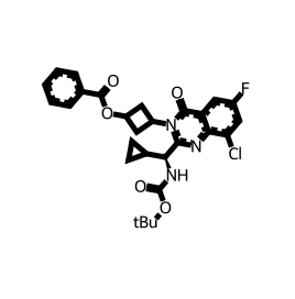 CC(C)(C)OC(=O)N[C@H](c1nc2c(Cl)cc(F)cc2c(=O)n1C1CC(OC(=O)c2ccccc2)C1)C1CC1